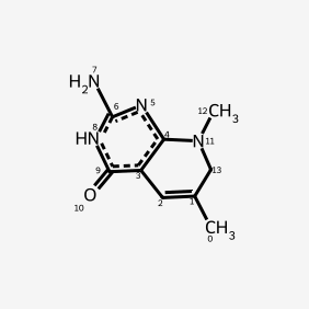 CC1=Cc2c(nc(N)[nH]c2=O)N(C)C1